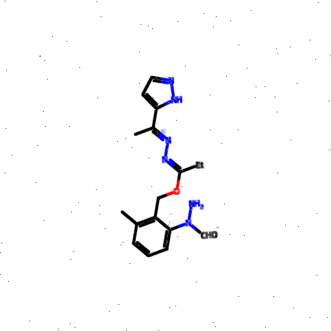 CCC(=N/N=C(\C)c1ccn[nH]1)OCc1c(C)cccc1N(N)C=O